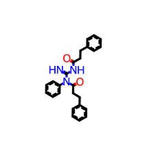 N=C(NC(=O)CCc1ccccc1)N(C(=O)CCc1ccccc1)c1ccccc1